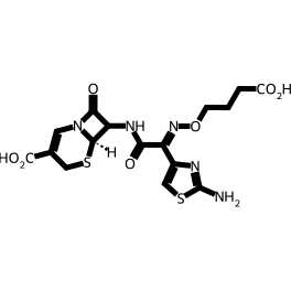 Nc1nc(C(=NOCCCC(=O)O)C(=O)NC2C(=O)N3C=C(C(=O)O)CS[C@H]23)cs1